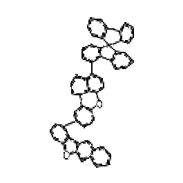 c1ccc2c(c1)-c1ccccc1C21c2ccccc2-c2c(-c3ccc4c5c(cccc35)-c3cc(-c5cccc6oc7cc8ccccc8cc7c56)ccc3O4)cccc21